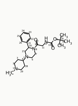 CN1CCC(N2CCN(C(=O)CNC(=O)OC(C)(C)C)C(c3ccccc3)C2)CC1